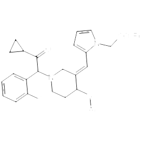 CCOC(=O)Cn1cccc1C=C1CN(C(C(=O)C2CC2)c2ccccc2F)CCC1SC(C)=O